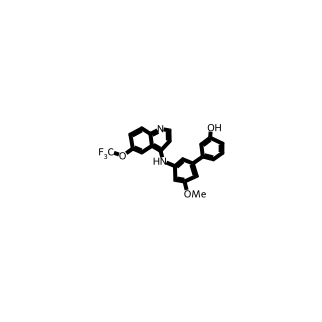 COc1cc(Nc2ccnc3ccc(OC(F)(F)F)cc23)cc(-c2cccc(O)c2)c1